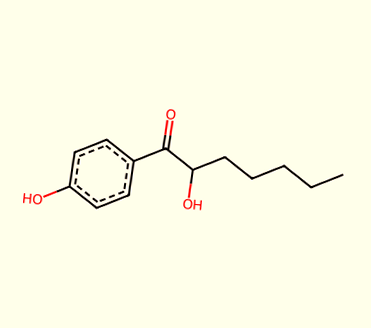 CCCCCC(O)C(=O)c1ccc(O)cc1